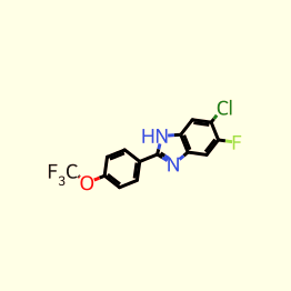 Fc1cc2nc(-c3ccc(OC(F)(F)F)cc3)[nH]c2cc1Cl